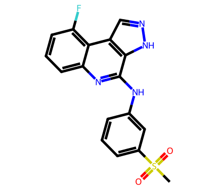 CS(=O)(=O)c1cccc(Nc2nc3cccc(F)c3c3cn[nH]c23)c1